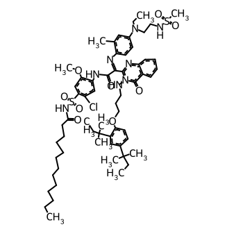 CCCCCCCCCCCCC(=O)NS(=O)(=O)c1cc(OC)c(NC(=O)/C(=N/c2ccc(N(CC)CCNS(C)(=O)=O)cc2C)c2nc3ccccc3c(=O)n2NCCCOc2ccc(C(C)(C)CC)cc2C(C)(C)CC)cc1Cl